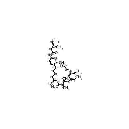 C=C/C(=C\C(=C/C)CC(=C)N(C)C(=C)SC(=C)CCCCc1ccc(NC(=O)C/C(C)=C/C)nn1)OCCOC